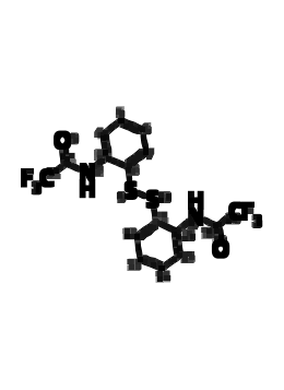 O=C(Nc1ccccc1SSc1ccccc1NC(=O)C(F)(F)F)C(F)(F)F